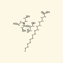 CCCCCCCCCCCCCCCCCC(=O)O.OCC(O)CO.OCCN(CCO)CCO